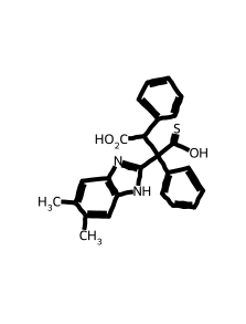 Cc1cc2nc(C(C(O)=S)(c3ccccc3)C(C(=O)O)c3ccccc3)[nH]c2cc1C